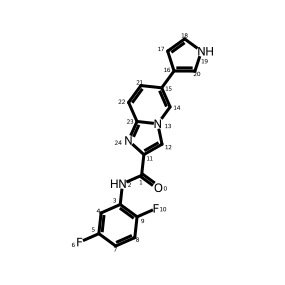 O=C(Nc1cc(F)ccc1F)c1cn2cc(-c3cc[nH]c3)ccc2n1